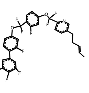 C/C=C/CCc1ccc(C(F)(F)Oc2ccc(C(F)(F)Oc3ccc(-c4cc(F)c(F)c(F)c4)c(F)c3)c(F)c2)nc1